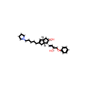 O[C@H](/C=C/[C@@H]1[C@H]2CC(CCCCCN3CCCC3)=C[C@H]2C[C@H]1O)COc1ccccc1